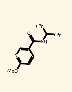 CCCC(CCC)NC(=O)c1ccc(OC)nc1